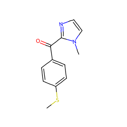 CSc1ccc(C(=O)c2nccn2C)cc1